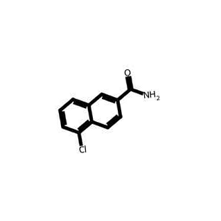 NC(=O)c1ccc2c(Cl)cccc2c1